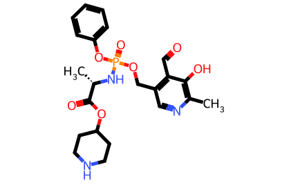 Cc1ncc(COP(=O)(N[C@@H](C)C(=O)OC2CCNCC2)Oc2ccccc2)c(C=O)c1O